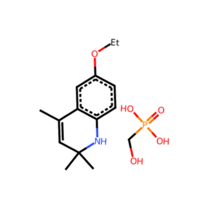 CCOc1ccc2c(c1)C(C)=CC(C)(C)N2.O=P(O)(O)CO